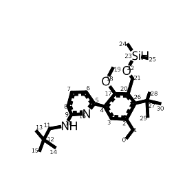 CCc1cc(-c2cccc(NCC(C)(C)C)n2)c(OC)c(CO[SiH](C)C)c1C(C)(C)C